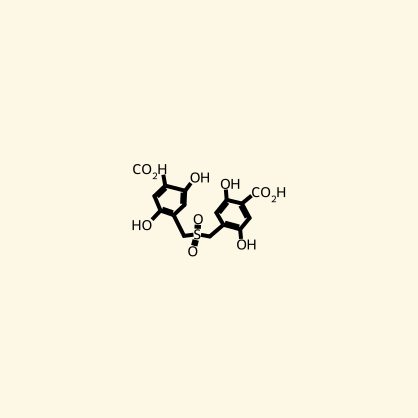 O=C(O)c1cc(O)c(CS(=O)(=O)Cc2cc(O)c(C(=O)O)cc2O)cc1O